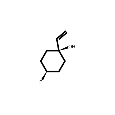 C=C[C@]1(O)CC[C@@H](F)CC1